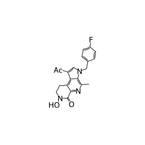 CC(=O)c1cn(Cc2ccc(F)cc2)c2c(C)nc3c(c12)CCN(O)C3=O